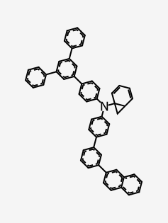 C1=CC2CC2(N(c2ccc(-c3cccc(-c4ccc5ccccc5c4)c3)cc2)c2ccc(-c3cc(-c4ccccc4)cc(-c4ccccc4)c3)cc2)C=C1